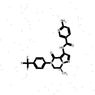 C[C@H]1CN(c2ccc(C(F)(F)F)cc2)C(=O)c2c(NC(=O)c3ccc(N)nc3)cnn21